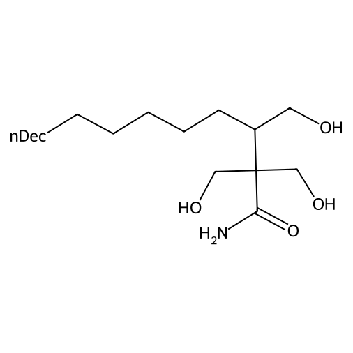 CCCCCCCCCCCCCCCC(CO)C(CO)(CO)C(N)=O